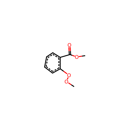 COOc1ccccc1C(=O)OC